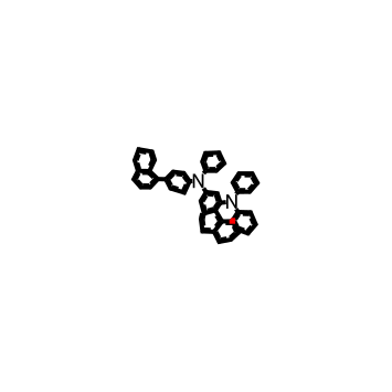 c1ccc(N(c2ccc(-c3cccc4ccccc34)cc2)c2cc(N(c3ccccc3)c3ccccc3)c3c(ccc4ccccc43)c2)cc1